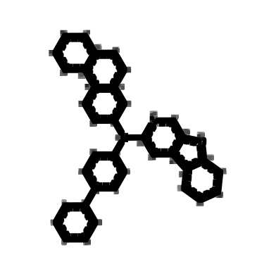 c1ccc(-c2ccc(N(c3ccc4c(ccc5ccccc54)c3)c3cc4c(cn3)oc3ccccc34)cc2)cc1